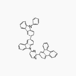 c1ccc(-n2c3ccccc3c3cc(-c4ccc5c(c4)c4ccccc4n5-c4ccnc(-c5ccc6c7ccccc7c7ccccc7c6c5)n4)ccc32)cc1